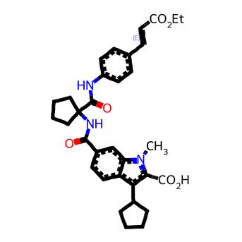 CCOC(=O)/C=C/c1ccc(NC(=O)C2(NC(=O)c3ccc4c(C5CCCC5)c(C(=O)O)n(C)c4c3)CCCC2)cc1